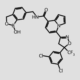 O=C(NCc1ccc2c(c1)B(O)OC2)c1ccc(C2=NOC(c3cc(Cl)cc(Cl)c3)(C(F)(F)F)C2)n2cccc12